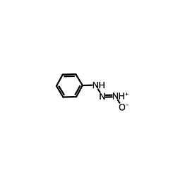 [O-][NH+]=NNc1ccccc1